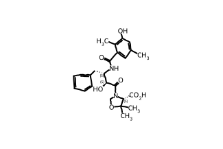 Cc1cc(O)c(C)c(C(=O)N[C@@H](Cc2ccccc2)[C@H](O)C(=O)N2COC(C)(C)[C@H]2C(=O)O)c1